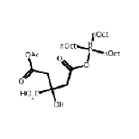 CCCCCCCC[PH](CCCCCCCC)(CCCCCCCC)OC(=O)CC(O)(CC(=O)OC(C)=O)C(=O)O